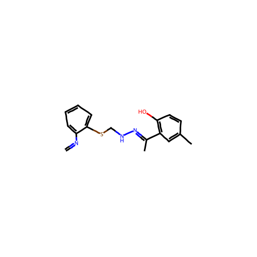 C=Nc1ccccc1SCN/N=C(\C)c1cc(C)ccc1O